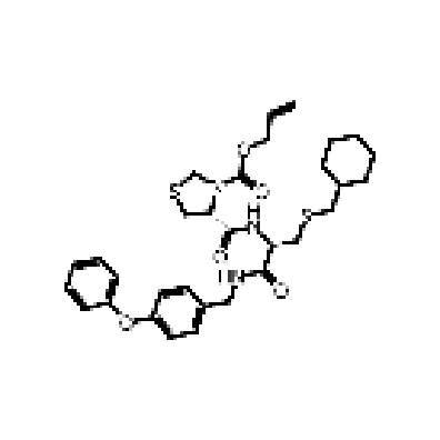 C=CCOC(=O)N1CSC[C@H]1C(=O)N[C@@H](CSCC1CCCCC1)C(=O)NCc1ccc(Oc2ccccc2)cc1